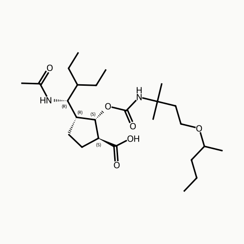 CCCC(C)OCCC(C)(C)NC(=O)O[C@H]1[C@@H]([C@H](NC(C)=O)C(CC)CC)CC[C@@H]1C(=O)O